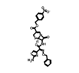 Nc1nc(C(=NOCc2ccccc2)C(=O)NC2C(=O)N3C=C(C(=O)OCc4ccc([N+](=O)[O-])cc4)CS[C@H]23)cs1